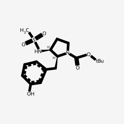 CC(C)(C)OC(=O)N1CC[C@H](NS(C)(=O)=O)[C@@H]1Cc1cccc(O)c1